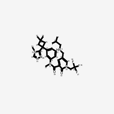 CC(C)CNCc1cc(C(=O)N(C)c2cccc(C3(c4nncn4C)CC(C)(C)C3)c2)c(=O)n(CC(F)(F)F)c1